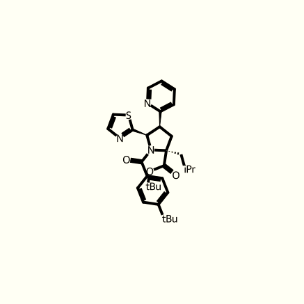 CC(C)C[C@@]1(C(=O)OC(C)(C)C)C[C@H](c2ccccn2)[C@H](c2nccs2)N1C(=O)c1ccc(C(C)(C)C)cc1